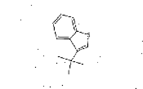 CC(C)(I)c1csc2ccccc12